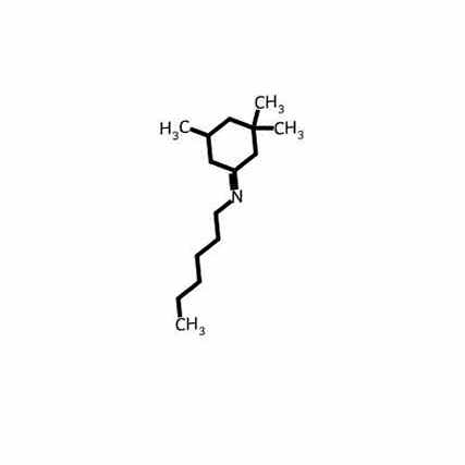 CCCCCCN=C1CC(C)CC(C)(C)C1